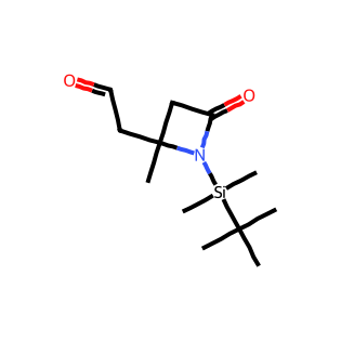 CC1(CC=O)CC(=O)N1[Si](C)(C)C(C)(C)C